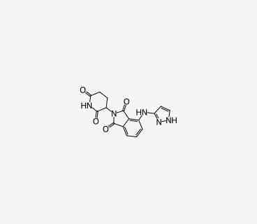 O=C1CCC(N2C(=O)c3cccc(Nc4cc[nH]n4)c3C2=O)C(=O)N1